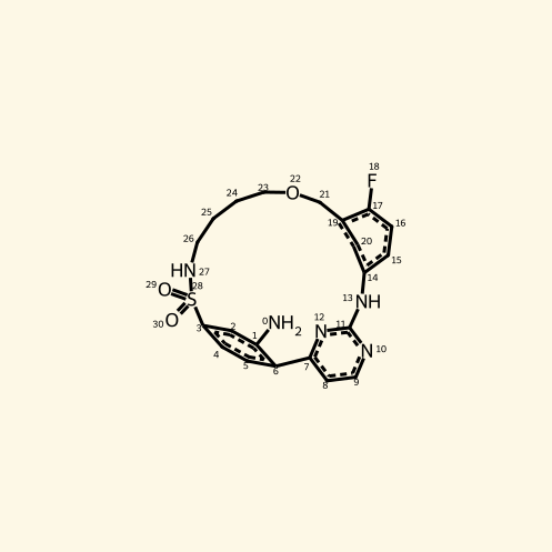 Nc1cc2ccc1-c1ccnc(n1)Nc1ccc(F)c(c1)COCCCCNS2(=O)=O